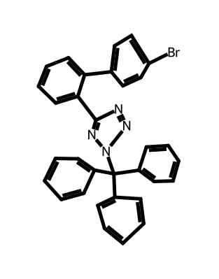 Brc1ccc(-c2ccccc2-c2nnn(C(c3ccccc3)(c3ccccc3)c3ccccc3)n2)cc1